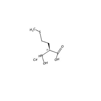 CSCC[C@H](NO)C(=O)O.[Ca]